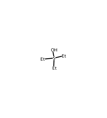 CCS(O)(CC)CC